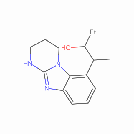 CCC(O)C(C)c1cccc2nc3n(c12)CCCN3